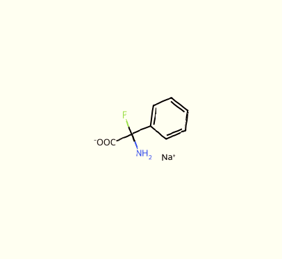 NC(F)(C(=O)[O-])c1ccccc1.[Na+]